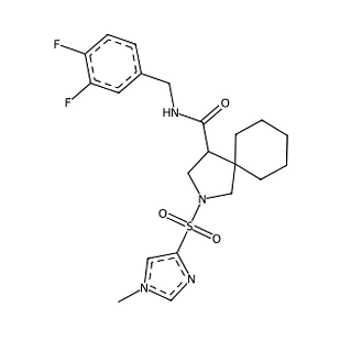 Cn1cnc(S(=O)(=O)N2CC(C(=O)NCc3ccc(F)c(F)c3)C3(CCCCC3)C2)c1